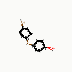 Oc1ccc(Sc2ccc(S)cc2)cc1